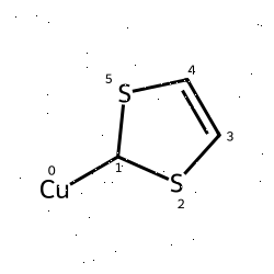 [Cu][CH]1SC=CS1